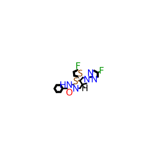 O=C(NC1=NC[C@H]2CN(c3ncc(F)cn3)C[C@]2(c2ccc(F)s2)S1)c1ccccc1